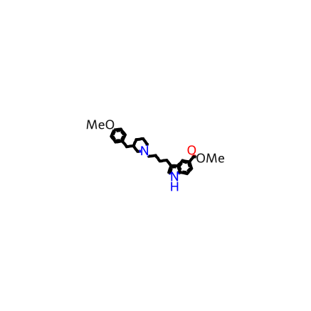 COC(=O)c1ccc2[nH]cc(CCCCN3CCCC(Cc4ccc(OC)cc4)C3)c2c1